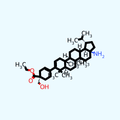 CCOC(=O)[C@@]1(CO)CC=C(C2=CC[C@]3(C)[C@H]4CC[C@@H]5[C@H]6[C@H](C(C)C)CC[C@]6(N)CC[C@@]5(C)[C@]4(C)CC[C@H]3C2(C)C)CC1